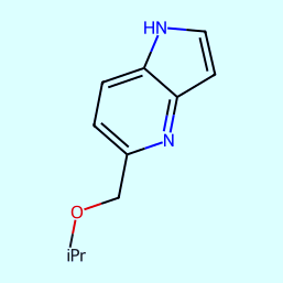 CC(C)OCc1ccc2[nH]ccc2n1